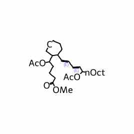 CCCCCCCCC(/C=C/C=C/C1CCCCCC1C(CCCC(=O)OC)OC(C)=O)OC(C)=O